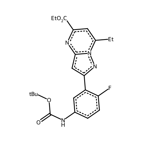 CCOC(=O)c1cc(CC)n2nc(-c3cc(NC(=O)OC(C)(C)C)ccc3F)cc2n1